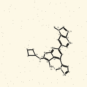 Cn1nccc1-c1cc(-c2cnc3ncn(C)c3c2)nc2sc(SC3CCC3)c(N)c12